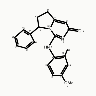 COc1ccc(Nc2nc(=O)cc3n2C(c2ccccc2)CC3)c(C)c1